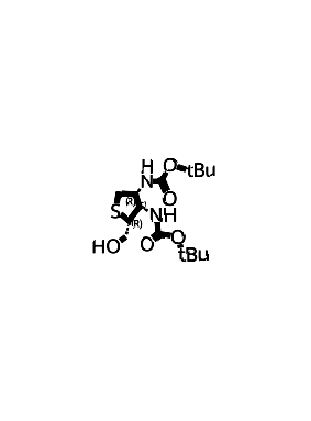 CC(C)(C)OC(=O)N[C@H]1[C@@H](NC(=O)OC(C)(C)C)CS[C@H]1CO